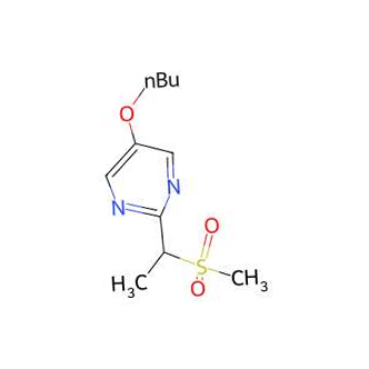 CCCCOc1cnc(C(C)S(C)(=O)=O)nc1